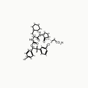 CC(C)(c1cccc(Cl)c1)C(OC(=O)N[C@@H](CC1CCCCC1)C(=O)NN1CC[C@H](CCC(=O)O)C1=O)c1ccc(F)cc1